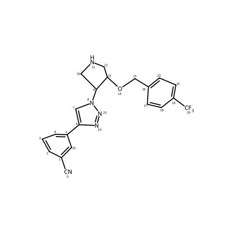 N#Cc1cccc(-c2cn(C3CNCC3OCc3ccc(C(F)(F)F)cc3)nn2)c1